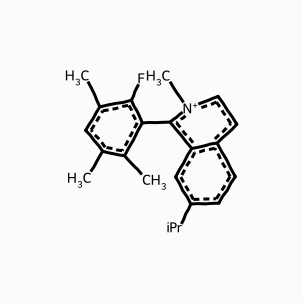 Cc1cc(C)c(F)c(-c2c3cc(C(C)C)ccc3cc[n+]2C)c1C